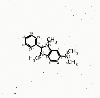 CN(C)c1ccc2c(c1)N(C)C(c1ccccc1)N2C